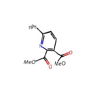 CCCc1ccc(C(=O)OC)c(C(=O)OC)n1